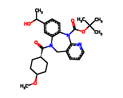 CO[C@H]1CC[C@H](C(=O)N2Cc3cccnc3N(C(=O)OC(C)(C)C)c3ccc(C(C)O)cc32)CC1